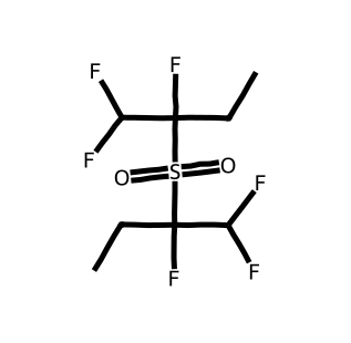 CCC(F)(C(F)F)S(=O)(=O)C(F)(CC)C(F)F